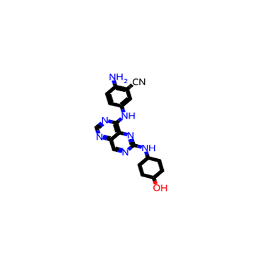 N#Cc1cc(Nc2ncnc3cnc(NC4CCC(O)CC4)nc23)ccc1N